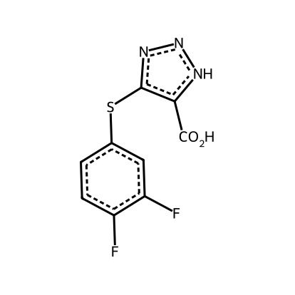 O=C(O)c1[nH]nnc1Sc1ccc(F)c(F)c1